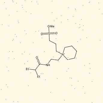 CCC(CC)C(=O)NCC[N+]1(CCCS(=O)(=O)OC)CCCCC1